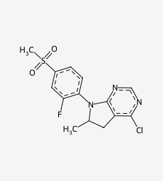 CC1Cc2c(Cl)ncnc2N1c1ccc(S(C)(=O)=O)cc1F